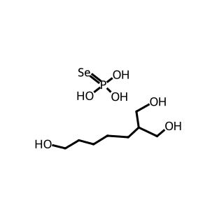 OCCCCCC(CO)CO.OP(O)(O)=[Se]